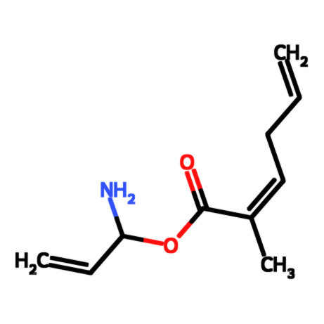 C=CCC=C(C)C(=O)OC(N)C=C